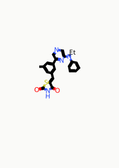 CCN(c1ccccc1)c1cncc(-c2cc(C)cc(/C=C3\SC(=O)NC3=O)c2)n1